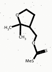 CSC(=S)OCC1CCOC1(C)C